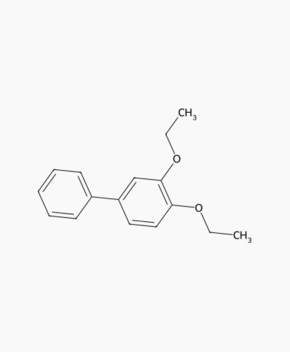 CCOc1ccc(-c2ccccc2)cc1OCC